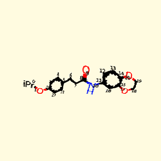 CC(C)Oc1ccc(CCC(=O)Nc2ccc3c(c2)OCCO3)cc1